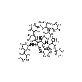 Cc1cc(-c2ccccc2)ccc1N1c2ccc(N(c3ccccc3)c3ccccc3)cc2Bc2c(-c3cc(-c4ccccc4)ccc3Nc3cccc(-c4ccccc4)c3)cc3sc4ccccc4c3c21